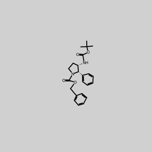 CC(C)(C)OC(=O)N[C@H]1CCN(C(=O)OCc2ccccc2)[C@H]1c1ccccc1